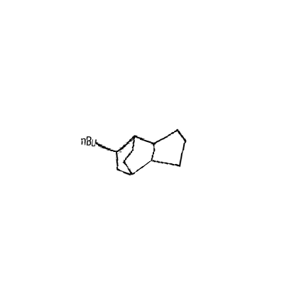 CCCC[C]1CC2CC1C1CCCC21